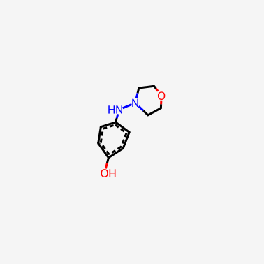 Oc1ccc(NN2CCOCC2)cc1